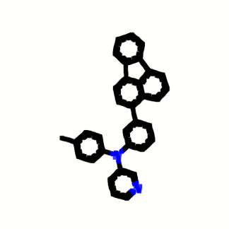 Cc1ccc(N(c2cccnc2)c2cccc(-c3ccc4c5c(cccc35)-c3ccccc3-4)c2)cc1